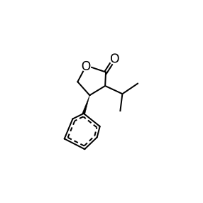 CC(C)C1C(=O)OC[C@@H]1c1ccccc1